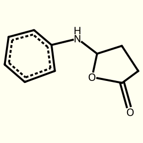 O=C1CCC(Nc2ccccc2)O1